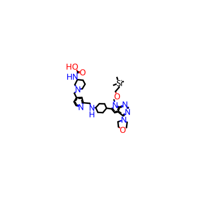 C[Si](C)(C)CCOCn1c(C2CCC(NCc3cc(CN4CCC[C@@H](NC(=O)O)C4)ccn3)CC2)cc2c(N3CCOCC3)ncnc21